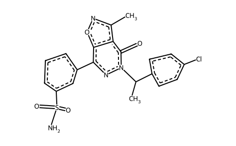 Cc1noc2c(-c3cccc(S(N)(=O)=O)c3)nn(C(C)c3ccc(Cl)cc3)c(=O)c12